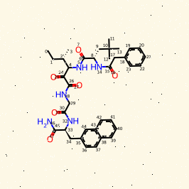 CC[C@H](C)C(NC(=O)[C@H](CC(C)(C)C)NC(=O)Cc1ccccc1)C(=O)C(=O)NCC(=O)N[C@@H](Cc1ccc2ccccc2c1)C(N)=O